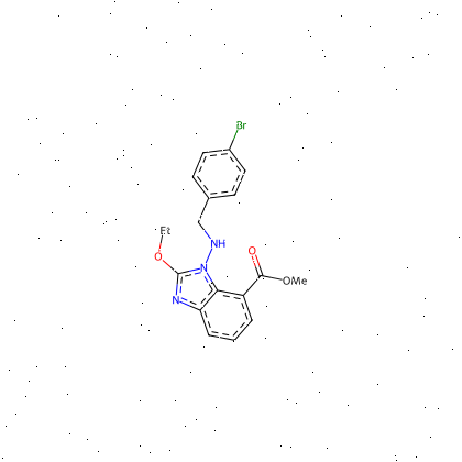 CCOc1nc2cccc(C(=O)OC)c2n1NCc1ccc(Br)cc1